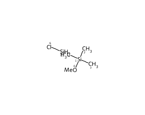 CO[Si](C)(C)C.[SiH3]Cl